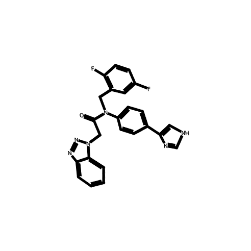 O=C(Cn1nnc2ccccc21)N(Cc1cc(F)ccc1F)c1ccc(-c2c[nH]cn2)cc1